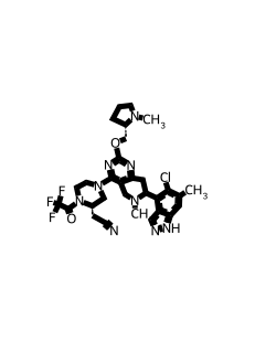 Cc1cc2[nH]ncc2c(C2Cc3nc(OC[C@@H]4CCCN4C)nc(N4CCN(C(=O)C(F)(F)F)[C@@H](CC#N)C4)c3CN2C)c1Cl